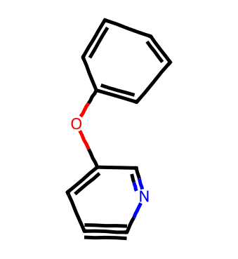 c1cc(Oc2ccccc2)cnc#1